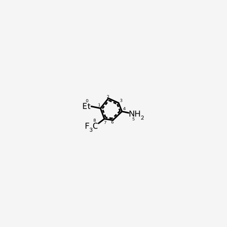 CCc1ccc(N)cc1C(F)(F)F